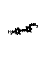 NCc1cccc(C#Cc2cnc(N)nc2)c1